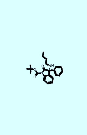 CCCCN[C@@]1(c2ccccc2)C(=O)N(C(=O)OC(C)(C)C)c2ccccc21